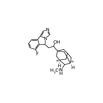 CNC1[C@@H]2CC3C[C@@H]1CC(C(O)CC1c4c(F)cccc4-c4cncn41)(C3)C2